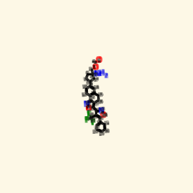 NC1(COC=O)CCC(c2ccc3c(c2)CCc2c-3noc2-c2noc(-c3ccccc3)c2C(F)(F)F)C1